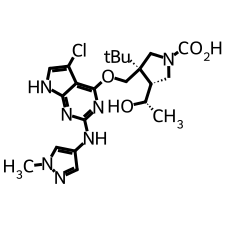 C[C@H](O)[C@H]1CN(C(=O)O)C[C@@]1(COc1nc(Nc2cnn(C)c2)nc2[nH]cc(Cl)c12)C(C)(C)C